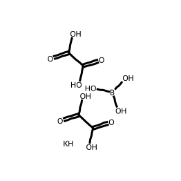 O=C(O)C(=O)O.O=C(O)C(=O)O.OB(O)O.[KH]